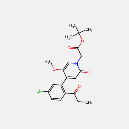 CCC(=O)c1ccc(Cl)cc1-c1cc(=O)n(CC(=O)OC(C)(C)C)cc1OC